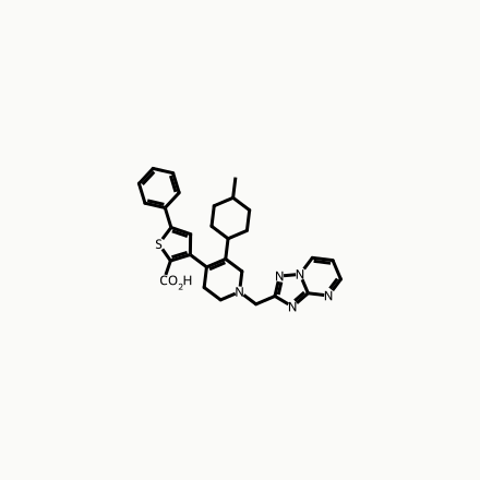 CC1CCC(C2=C(c3cc(-c4ccccc4)sc3C(=O)O)CCN(Cc3nc4ncccn4n3)C2)CC1